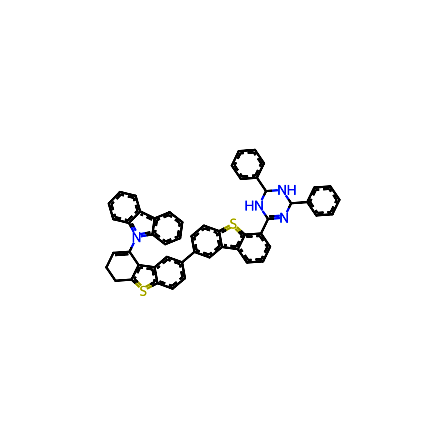 C1=C(n2c3ccccc3c3ccccc32)c2c(sc3ccc(-c4ccc5sc6c(C7=NC(c8ccccc8)NC(c8ccccc8)N7)cccc6c5c4)cc23)CC1